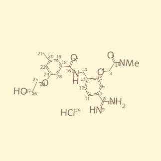 CNC(=O)COc1cc(C(=N)N)ccc1CNC(=O)c1cc(C)cc(OCCO)c1.Cl